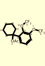 CC(=O)OC1(c2cccc(OC(F)(F)F)c2OC(F)(F)F)CCCCC1